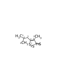 Cc1c(CC(C)C)ssc1=S